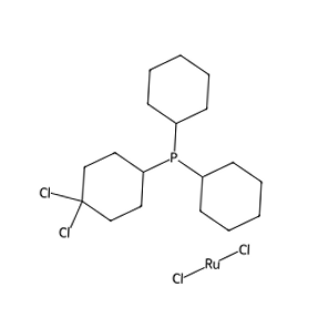 ClC1(Cl)CCC(P(C2CCCCC2)C2CCCCC2)CC1.[Cl][Ru][Cl]